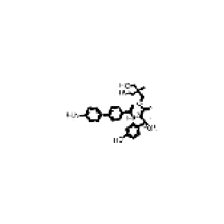 C=C(N[C@H](C(=O)OCC(C)(CO)CO)[C@@](C)(O)c1ccc(O)cc1)c1ccc(-c2ccc(N)cc2)cc1